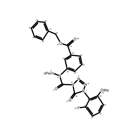 CCCCCN(C(=O)n1nnn(-c2c(F)cccc2OC)c1=O)c1cccc(C(=O)OCc2ccccc2)c1